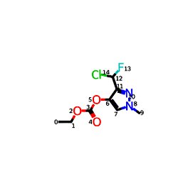 CCOC(=O)Oc1cn(C)nc1C(F)Cl